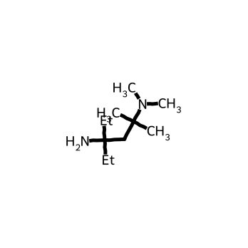 CCC(N)(CC)CC(C)(C)N(C)C